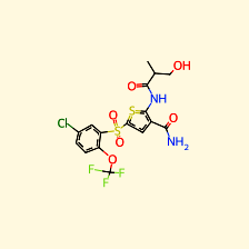 CC(CO)C(=O)Nc1sc(S(=O)(=O)c2cc(Cl)ccc2OC(F)(F)F)cc1C(N)=O